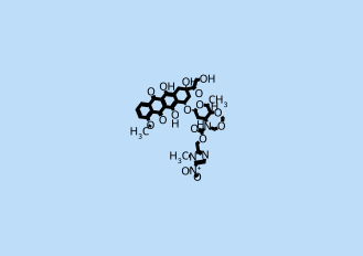 COc1cccc2c1C(=O)c1c(O)c3c(c(O)c1C2=O)C[C@@](O)(C(=O)CO)C[C@@H]3O[C@H]1C[C@H]2[C@H](OCOCN2C(=O)OCc2ncc([N+](=O)[O-])n2C)[C@H](C)O1